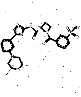 CC(C)S(=O)(=O)c1cccc(C(=O)N2CC[C@H]2C(=O)Nc2nc(-c3cccc(N4C[C@@H](C)O[C@@H](C)C4)c3)cs2)c1